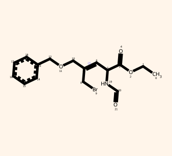 CCOC(=O)C(/C=C(\CBr)COCc1ccccc1)NC=O